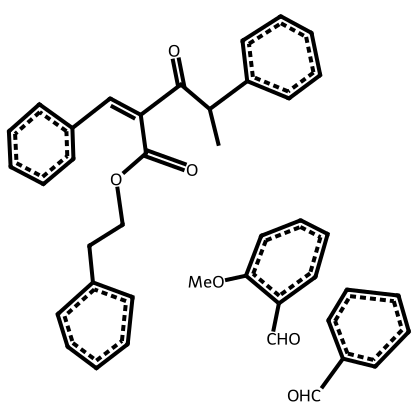 CC(C(=O)C(=Cc1ccccc1)C(=O)OCCc1ccccc1)c1ccccc1.COc1ccccc1C=O.O=Cc1ccccc1